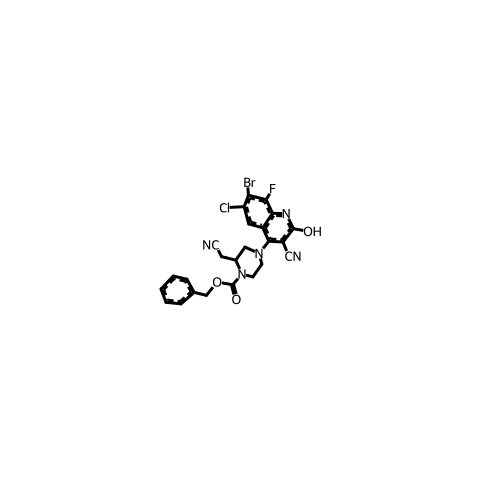 N#CCC1CN(c2c(C#N)c(O)nc3c(F)c(Br)c(Cl)cc23)CCN1C(=O)OCc1ccccc1